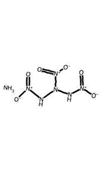 N.O=[N+]([O-])NN(N[N+](=O)[O-])[N+](=O)[O-]